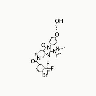 Cc1cc(C)n(-c2nc3c(c(=O)n2-c2ccc(OCCCO)cc2)C[C@@H](C)N(C(=O)c2ccc(Br)c(C(F)(F)F)c2)C3)n1